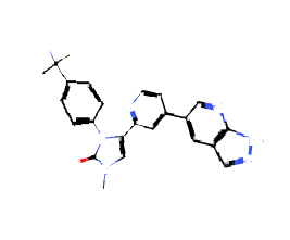 Cn1cc(-c2cc(-c3cnc4[nH]ncc4c3)ccn2)n(-c2ccc(C(C)(C)N)cc2)c1=O